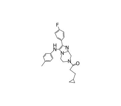 Cc1ccc(Nc2c(-c3ccc(F)cc3)nc3n2CCN(C(=O)CCC2CC2)C3)cc1